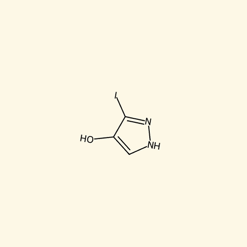 Oc1c[nH]nc1I